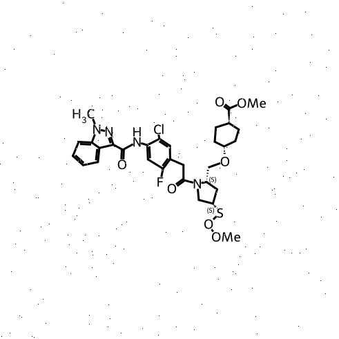 COOS[C@H]1C[C@@H](CO[C@H]2CC[C@H](C(=O)OC)CC2)N(C(=O)Cc2cc(Cl)c(NC(=O)c3nn(C)c4ccccc34)cc2F)C1